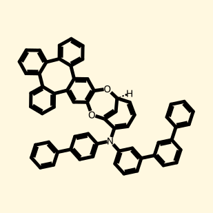 C1=C[C@H]2C=C(Oc3cc4c(cc3O2)-c2ccccc2-c2ccccc2-c2ccccc2-4)C(N(c2ccc(-c3ccccc3)cc2)c2cccc(-c3cccc(-c4ccccc4)c3)c2)=C1